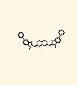 CC1=C2C=C(/C=C3\Sc4cc(-c5ccccc5)ccc4N3C)CCC2CC/C1=C\c1sc2cc(-c3ccccc3)ccc2[n+]1C